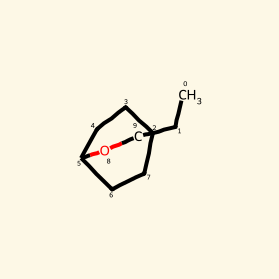 CCC12CCC(CC1)OC2